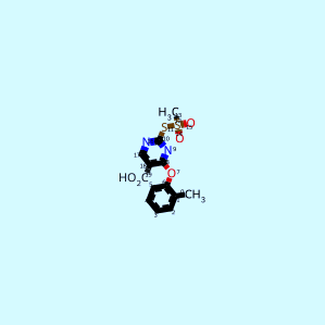 Cc1ccccc1Oc1nc(SS(C)(=O)=O)ncc1C(=O)O